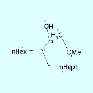 CCCCCCCCC(CO)CCCCCC.COC